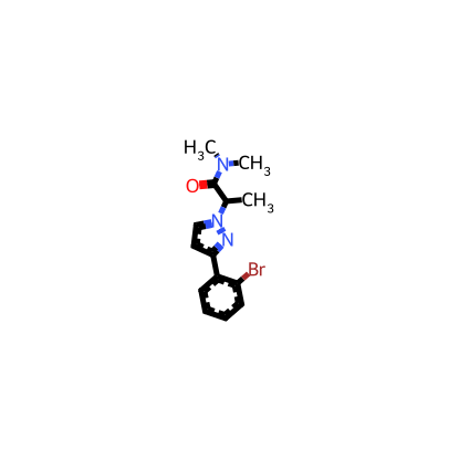 CC(C(=O)N(C)C)n1ccc(-c2ccccc2Br)n1